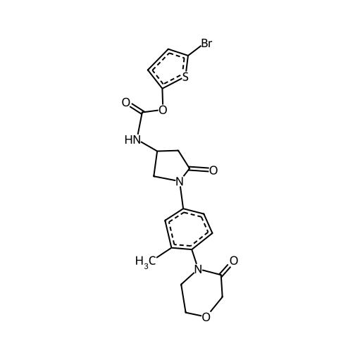 Cc1cc(N2CC(NC(=O)Oc3ccc(Br)s3)CC2=O)ccc1N1CCOCC1=O